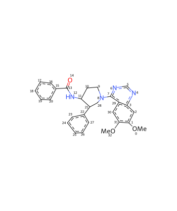 COc1cc2ncnc(N3CCC(NC(=O)c4ccccc4)C(c4ccccc4)C3)c2cc1OC